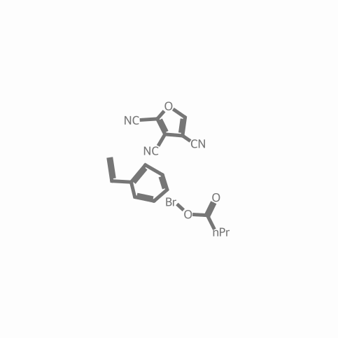 C=Cc1ccccc1.CCCC(=O)OBr.N#Cc1coc(C#N)c1C#N